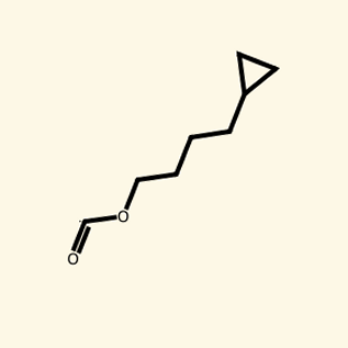 O=[C]OCCCCC1CC1